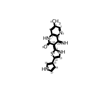 Cc1cnc2c(c1)NC(=O)/C(=C1/NC=C(c3cc[nH]c3)S1)C2=N